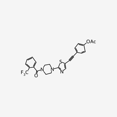 CC(=O)Oc1ccc(C#Cc2cnc(N3CCN(C(=O)c4ccccc4C(F)(F)F)CC3)s2)cc1